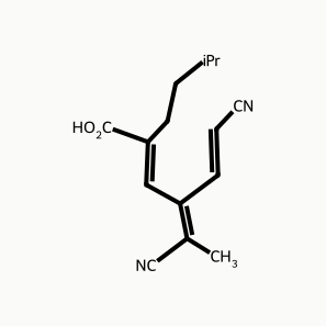 CC(C#N)=C(C=CC#N)C=C(CCC(C)C)C(=O)O